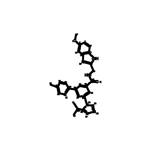 COc1ccc2[nH]c(CNC(=O)c3cc(-c4ccc(C)cn4)cc(-n4nnnc4C(C)C)c3)nc2c1